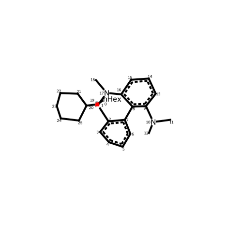 CCCCCCP(c1ccccc1-c1c(N(C)C)cccc1N(C)C)C1CCCCC1